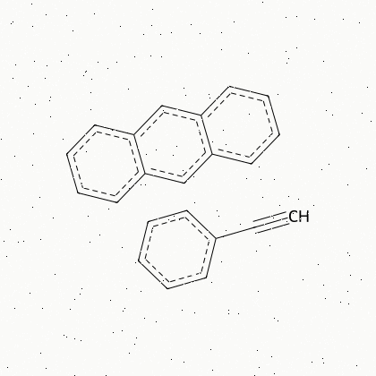 C#Cc1ccccc1.c1ccc2cc3ccccc3cc2c1